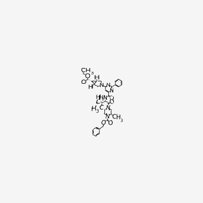 CCOC(=O)[C@@H]1[C@@H]2CN(c3cc(C(=O)N[C@H](C(=O)N4CCN(C(=O)OCc5ccccc5)[C@H](C)C4)C(C)C)nc(-c4ccccc4)n3)C[C@@H]21